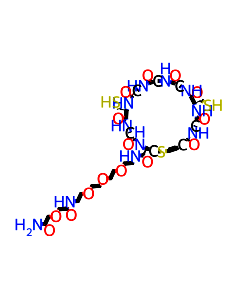 NC(=O)COCC(=O)NCCOCCOCCOCCNC(=O)[C@@H]1CSC=CCC(=O)NCC(=O)N[C@@H](CS)C(=O)NCC(=O)NCC(=O)NCC(=O)N[C@@H](CS)C(=O)NCC(=O)N1